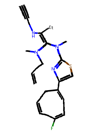 C#CN/C(CC)=C(\N(C)CC=C)N(C)c1nc(C2=CC=C(F)C=CC2)cs1